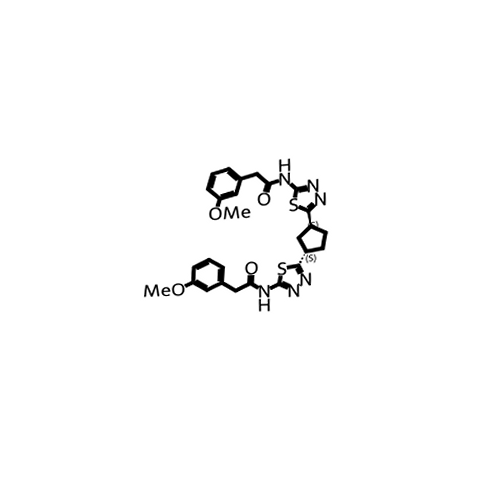 COc1cccc(CC(=O)Nc2nnc([C@H]3CC[C@H](c4nnc(NC(=O)Cc5cccc(OC)c5)s4)C3)s2)c1